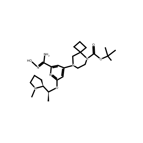 C[C@H](Oc1cc(N2CCN(C(=O)OC(C)(C)C)C3(CCC3)C2)cc(/C(N)=N/O)n1)[C@@H]1CCCN1C